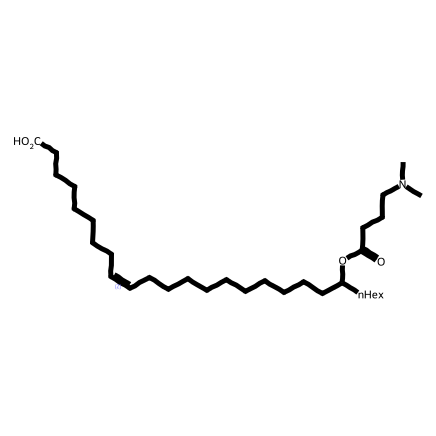 CCCCCCC(CCCCCCCCCC/C=C\CCCCCCCC(=O)O)OC(=O)CCCN(C)C